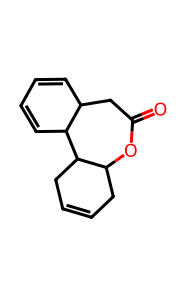 O=C1CC2C=CC=CC2C2CC=CCC2O1